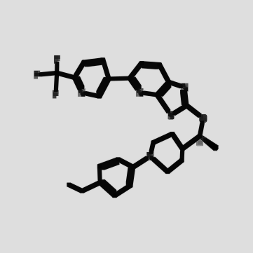 CCc1ccc(N2CCC([C@H](C)Oc3nc4ccc(-c5ccc(C(F)(F)F)nc5)nc4s3)CC2)cc1